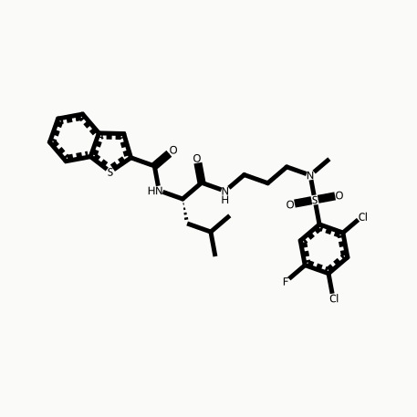 CC(C)C[C@H](NC(=O)c1cc2ccccc2s1)C(=O)NCCCN(C)S(=O)(=O)c1cc(F)c(Cl)cc1Cl